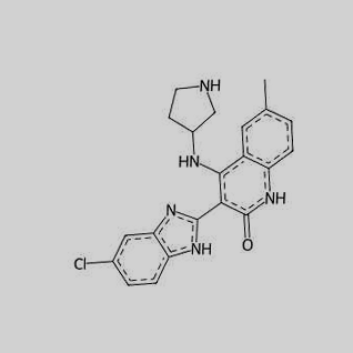 Cc1ccc2[nH]c(=O)c(-c3nc4cc(Cl)ccc4[nH]3)c(NC3CCNC3)c2c1